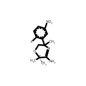 CC1(c2cc([N+](=O)[O-])ccc2F)CO[C@@](C)(C(F)(F)F)C(N)=N1